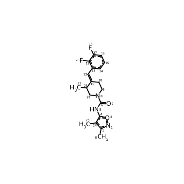 Cc1noc(NC(=O)N2CCC(=Cc3cccc(F)c3F)C(C)C2)c1C